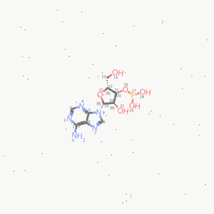 Nc1ncnc2c1ncn2[C@@H]1O[C@H](CO)[C@@H](OP(O)O)[C@H]1O